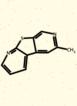 Cc1cc2c(cn1)sc1ncccc12